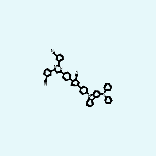 N#Cc1cccc(-c2cc(-c3ccc(-c4ccc(-c5ccc(-n6c7ccccc7c7cc(N(c8ccccc8)c8ccccc8)ccc76)cc5)cc4C#N)cc3)nc(-c3cccc(C#N)c3)n2)c1